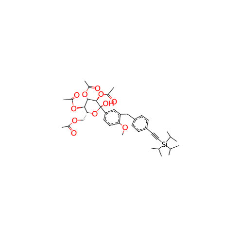 COc1ccc([C@]2(O)O[C@H](COC(C)=O)[C@@H](OC(C)=O)[C@H](OC(C)=O)[C@H]2OC(C)=O)cc1Cc1ccc(C#C[Si](C(C)C)(C(C)C)C(C)C)cc1